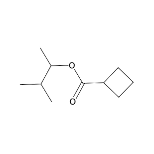 CC(C)C(C)OC(=O)C1CCC1